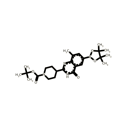 Cc1cc(B2OC(C)(C)C(C)(C)O2)cc2c(=O)[nH]c(C3CCN(C(=O)OC(C)(C)C)CC3)nc12